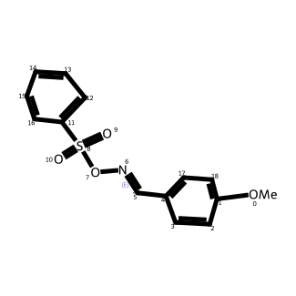 COc1ccc(/[C]=N/OS(=O)(=O)c2ccccc2)cc1